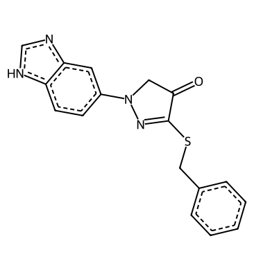 O=C1CN(c2ccc3[nH]cnc3c2)N=C1SCc1ccccc1